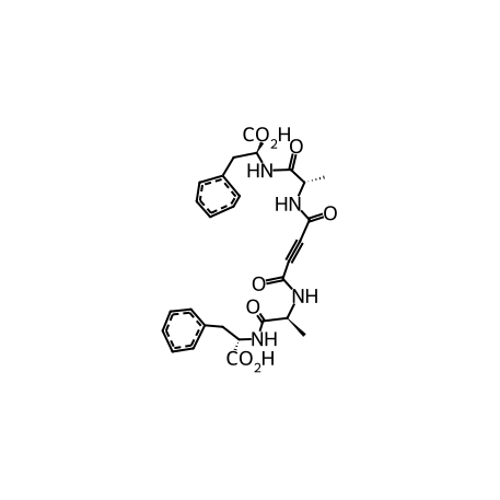 C[C@H](NC(=O)C#CC(=O)N[C@@H](C)C(=O)N[C@@H](Cc1ccccc1)C(=O)O)C(=O)N[C@@H](Cc1ccccc1)C(=O)O